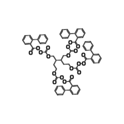 O=C(OCCC(COC(=O)OOC(=O)c1ccccc1-c1ccccc1)C(CCOC(=O)OOC(=O)c1ccccc1-c1ccccc1)COC(=O)OOC(=O)c1ccccc1-c1ccccc1)OOC(=O)c1ccccc1-c1ccccc1